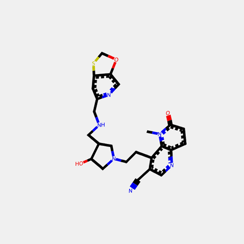 Cn1c(=O)ccc2ncc(C#N)c(CCN3CC(O)C(CNCc4cc5c(cn4)OCS5)C3)c21